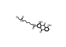 O=C(CCl)NCCCCNC(=O)c1cc(O)c2c(c1)C(=O)c1cccc(O)c1C2=O